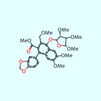 COCc1c(C(=O)OC)c(-c2ccc3c(c2)OCO3)c2cc(OC)c(OC)cc2c1OC1OC(OC)C(OC)[C@@H]1OC